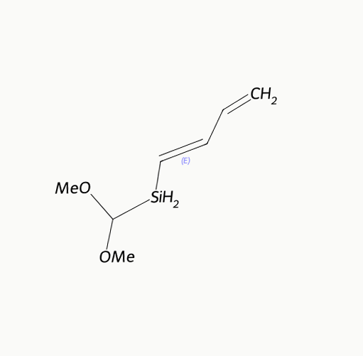 C=C/C=C/[SiH2]C(OC)OC